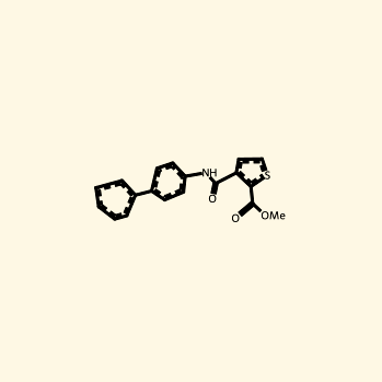 COC(=O)c1sccc1C(=O)Nc1ccc(-c2ccccc2)cc1